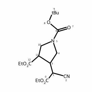 CCOC(=O)C(C#N)C1CN(C(=O)OC(C)(C)C)CC1C(=O)OCC